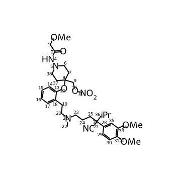 COCC(=O)NN1CCC(CO[N+](=O)[O-])(Oc2ccccc2CCN(C)CCCC(C#N)(c2ccc(OC)c(OC)c2)C(C)C)CC1